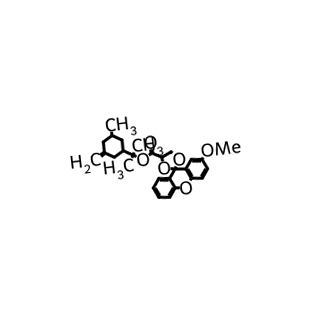 C=C1CC(C)CC(C(C)(C)OC(=O)C2COC3(O2)c2ccccc2Oc2ccc(OC)cc23)C1